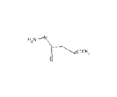 C=CCC(=O)[N]N